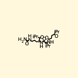 CC(C)C(=O)CCC(=O)N[C@H](C(=O)N[C@@H](CCCNC(N)=O)C(=O)C(C)C)C(C)C